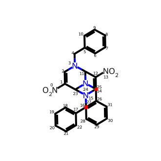 O=[N+]([O-])C1=CN(Cc2ccccc2)C2C([N+](=O)[O-])=CN(Cc3ccccc3)C1N2Cc1ccccc1